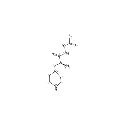 CCC(=O)ONC(=O)[C@@H](N)CN1CCNCC1